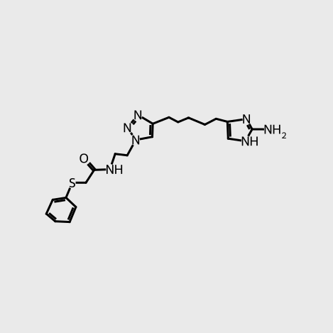 Nc1nc(CCCCCc2cn(CCNC(=O)CSc3ccccc3)nn2)c[nH]1